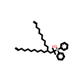 C=CCCCCCCCCC(CCCCCCCCC=C)CC(C)(C)[Si](O)(c1ccccc1)c1ccccc1